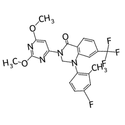 COc1cc(N2CN(c3ccc(F)cc3C)c3cc(C(F)(F)F)ccc3C2=O)nc(OC)n1